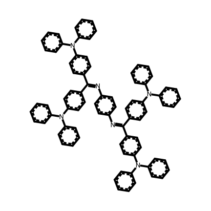 c1ccc(N(c2ccccc2)c2ccc(C(=Nc3ccc(N=C(c4ccc(N(c5ccccc5)c5ccccc5)cc4)c4ccc(N(c5ccccc5)c5ccccc5)cc4)cc3)c3ccc(N(c4ccccc4)c4ccccc4)cc3)cc2)cc1